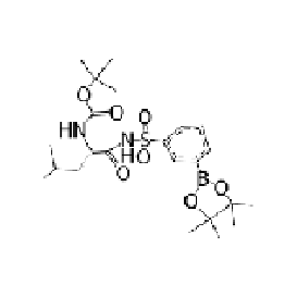 CC(C)C[C@H](NC(=O)OC(C)(C)C)C(=O)NS(=O)(=O)c1cccc(B2OC(C)(C)C(C)(C)O2)c1